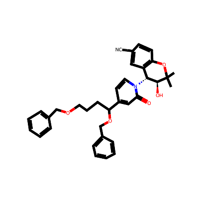 CC1(C)Oc2ccc(C#N)cc2[C@@H](n2ccc(C(CCCOCc3ccccc3)OCc3ccccc3)cc2=O)[C@@H]1O